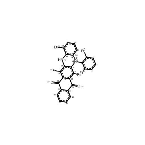 CCc1cccc(CC)c1Nc1c(F)c2c(c(F)c1Nc1c(CC)cccc1CC)C(=O)c1ccccc1C2=O